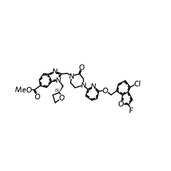 COC(=O)c1ccc2nc(CN3CCN(c4cccc(OCc5ccc(Cl)c6cc(F)oc56)n4)CC3=O)n(C[C@@H]3CCO3)c2c1